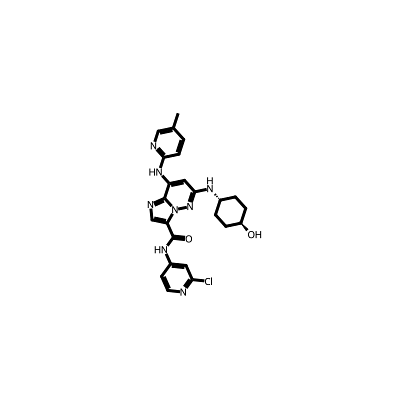 Cc1ccc(Nc2cc(N[C@H]3CC[C@H](O)CC3)nn3c(C(=O)Nc4ccnc(Cl)c4)cnc23)nc1